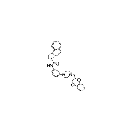 O=C(Nc1cccc(N2CCN(CC3COc4ccccc4O3)CC2)c1)N1CCc2c1ccc1ccccc21